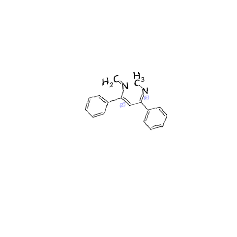 C=N/C(=C\C(=N/C)c1ccccc1)c1ccccc1